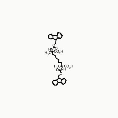 C[C@@](CCCCCC[C@](C)(NC(=O)OCC1c2ccccc2-c2ccccc21)C(=O)O)(NC(=O)OCC1c2ccccc2-c2ccccc21)C(=O)O